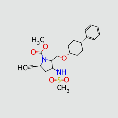 C#C[C@@H]1CC(NS(C)(=O)=O)C(CO[C@H]2CC[C@@H](c3ccccc3)CC2)N1C(=O)OC